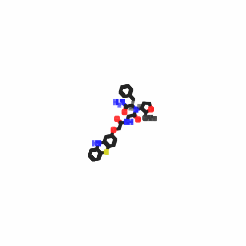 COC1OCC[C@@H]1N(C(=O)CNC(=O)COc1ccc2c(c1)Nc1ccccc1S2)[C@@H](Cc1ccccc1)C(N)=O